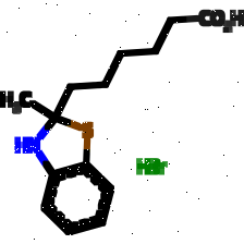 Br.CC1(CCCCCC(=O)O)Nc2ccccc2S1